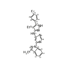 CCc1c(Nc2cc(-n3nc(C)c4ccccc43)ncn2)n[nH]c1-c1ccc(F)cc1